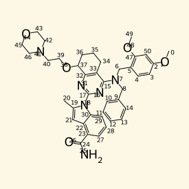 COc1ccc(CN(Cc2ccccc2)c2nc(-n3c(C)cc4c(C(N)=O)cccc43)nc3c2CCCC3OCCN2CCOCC2)c(OC)c1